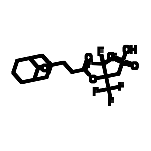 O=C(CCC1CC2CCCC(C1)C2=O)OC(CS(=O)(=O)O)(C(F)(F)F)C(F)(F)F